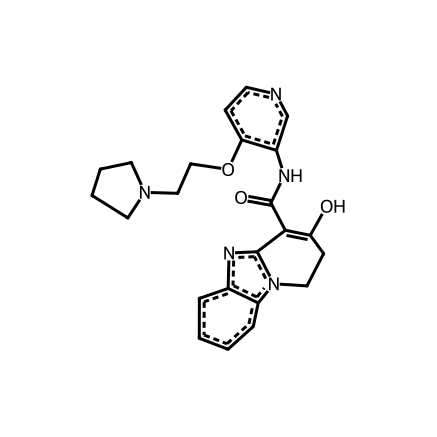 O=C(Nc1cnccc1OCCN1CCCC1)C1=C(O)CCn2c1nc1ccccc12